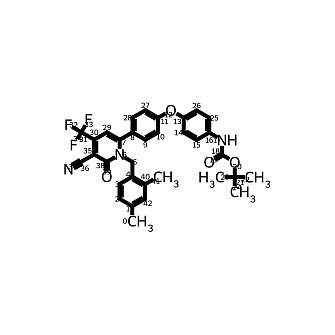 Cc1ccc(Cn2c(-c3ccc(Oc4ccc(NC(=O)OC(C)(C)C)cc4)cc3)cc(C(F)(F)F)c(C#N)c2=O)c(C)c1